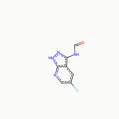 O=CNc1n[nH]c2ncc(F)cc12